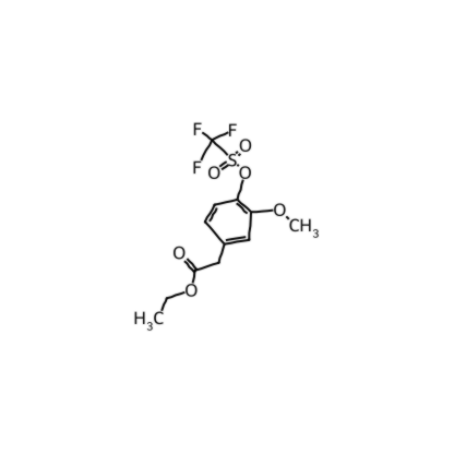 CCOC(=O)Cc1ccc(OS(=O)(=O)C(F)(F)F)c(OC)c1